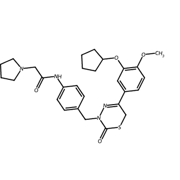 COc1ccc(C2=NN(Cc3ccc(NC(=O)CN4CCCC4)cc3)C(=O)SC2)cc1OC1CCCC1